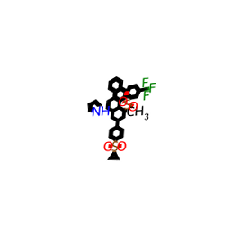 CC1(S(=O)(=O)c2cccc(C(F)(F)F)c2)CC(c2ccc(S(=O)(=O)C3CC3)cc2)CC2C=Cc3c(ccc4ccccc34)C21.c1cc[nH]c1